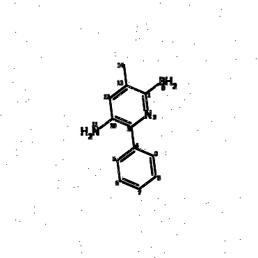 Bc1nc(-c2ccccc2)c(N)cc1C